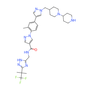 Cc1cc(-c2cnn(CC3CCN(C4CCNCC4)CC3)c2)ccc1-n1cc(C(=O)NCc2nc(C(C)(C)C(F)(F)F)n[nH]2)cn1